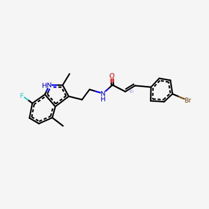 Cc1[nH]c2c(F)ccc(C)c2c1CCNC(=O)/C=C/c1ccc(Br)cc1